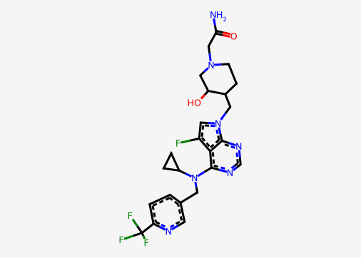 NC(=O)CN1CCC(Cn2cc(F)c3c(N(Cc4ccc(C(F)(F)F)nc4)C4CC4)ncnc32)C(O)C1